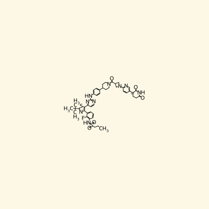 CCCS(=O)(=O)Nc1cccc(-c2nc(C(C)(C)C)sc2-c2ccnc(Nc3ccc(C4CCN(C(=O)C5CN(c6ccc([C@@H]7CCC(=O)NC7=O)cn6)C5)CC4)cc3)n2)c1F